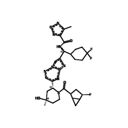 Cc1nonc1C(=O)N[C@H](c1cn2ncc([C@H]3C[C@](C)(O)CCN3C(=O)C3CC(F)C4CC34)nc2n1)C1CCC(F)(F)CC1